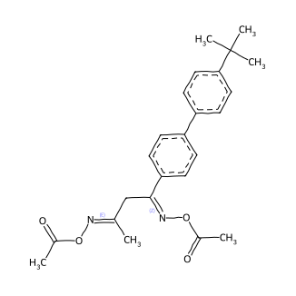 CC(=O)O/N=C(/C/C(C)=N/OC(C)=O)c1ccc(-c2ccc(C(C)(C)C)cc2)cc1